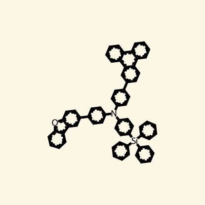 c1ccc([Si](c2ccccc2)(c2ccccc2)c2ccc(N(c3ccc(-c4ccc5oc6ccccc6c5c4)cc3)c3ccc(-c4ccc5c6ccccc6c6ccccc6c5c4)cc3)cc2)cc1